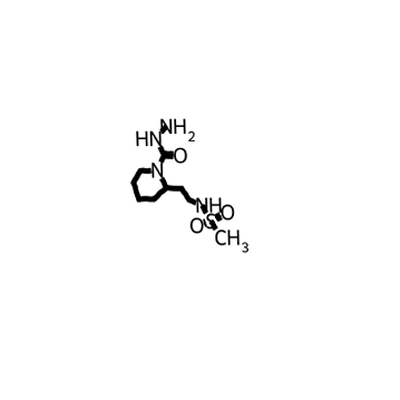 CS(=O)(=O)NCCC1CCCCN1C(=O)NN